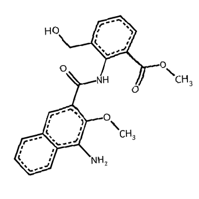 COC(=O)c1cccc(CO)c1NC(=O)c1cc2ccccc2c(N)c1OC